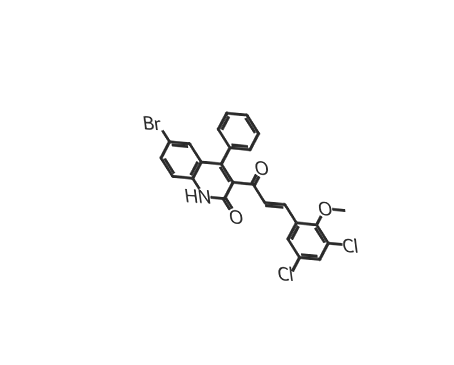 COc1c(Cl)cc(Cl)cc1C=CC(=O)c1c(-c2ccccc2)c2cc(Br)ccc2[nH]c1=O